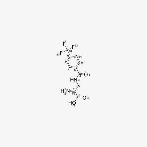 N[C@@H](CNC(=O)c1ccc(C(F)(F)F)nc1)C(=O)O